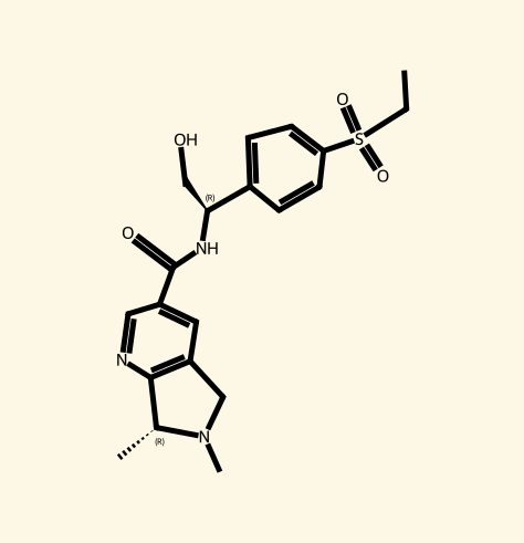 CCS(=O)(=O)c1ccc([C@H](CO)NC(=O)c2cnc3c(c2)CN(C)[C@@H]3C)cc1